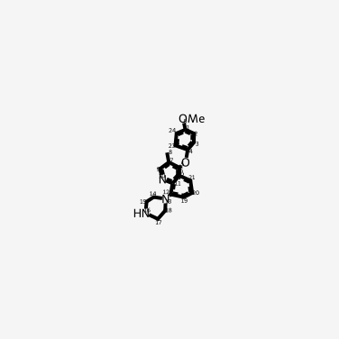 COc1ccc(Oc2c(C)cnc3c(N4CCNCC4)cccc23)cc1